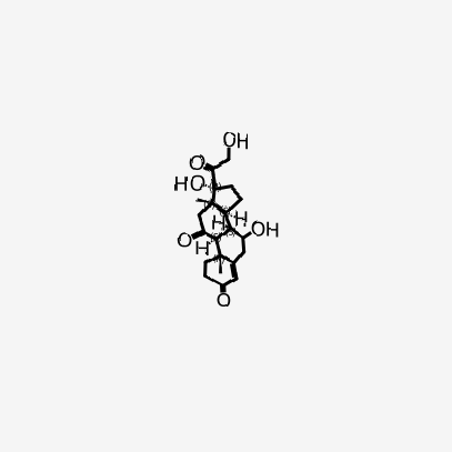 C[C@]12CCC(=O)C=C1CC(O)[C@@H]1[C@@H]2C(=O)C[C@@]2(C)[C@H]1CC[C@]2(O)C(=O)CO